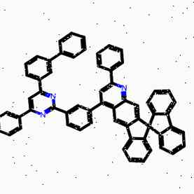 c1ccc(-c2cccc(-c3cc(-c4ccccc4)nc(-c4cccc(-c5cc(-c6ccccc6)nc6cc7c(cc56)-c5ccccc5C75c6ccccc6-c6ccccc65)c4)n3)c2)cc1